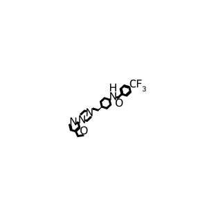 O=C(N[C@H]1CC[C@H](CCN2CCN(c3nccc4c3OCC4)CC2)CC1)c1ccc(C(F)(F)F)cc1